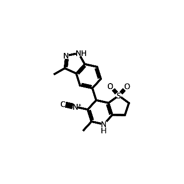 [C-]#[N+]C1=C(C)NC2=C(C1c1ccc3[nH]nc(C)c3c1)S(=O)(=O)CC2